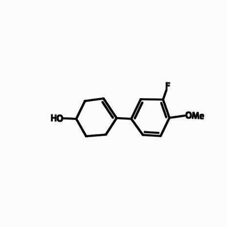 COc1ccc(C2=CCC(O)CC2)cc1F